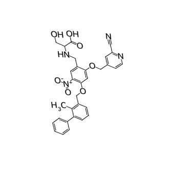 Cc1c(COc2cc(OCc3ccnc(C#N)c3)c(CNC(CO)C(=O)O)cc2[N+](=O)[O-])cccc1-c1ccccc1